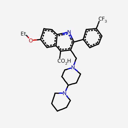 CCOc1ccc2nc(-c3cccc(C(F)(F)F)c3)c(CN3CCC(N4CCCCC4)CC3)c(C(=O)O)c2c1